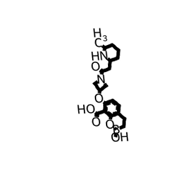 CC1CCCC(CC(=O)N2CC(Oc3ccc4c(c3C(=O)O)OB(O)CC4)C2)N1